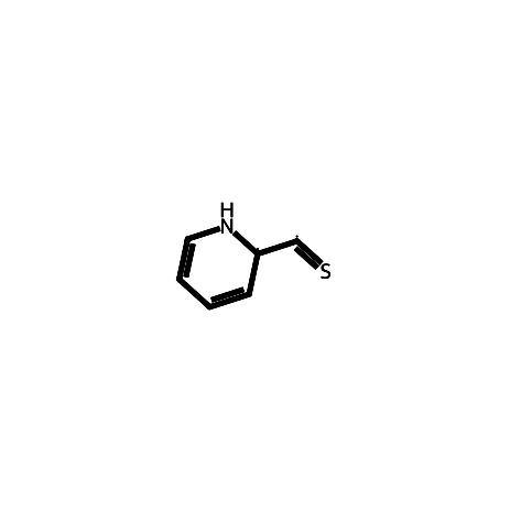 S=[C][C]1C=CC=CN1